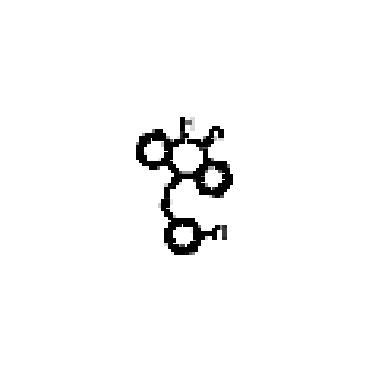 O=C1Nc2ccccc2C(=C=Cc2cccc(Cl)c2)c2ccccc21